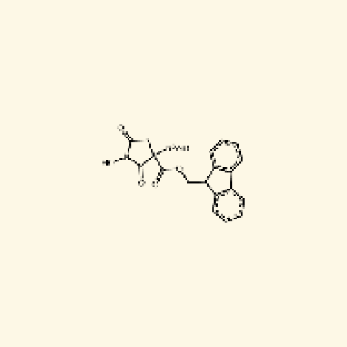 CCCCCC1(C(=O)OCC2c3ccccc3-c3ccccc32)CC(=O)N(O)C1=O